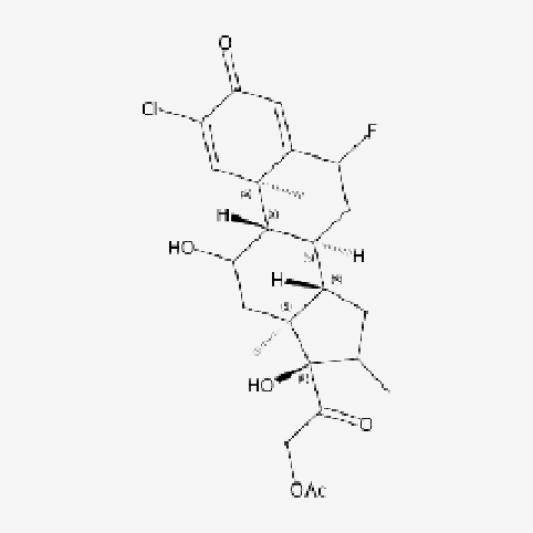 CC(=O)OCC(=O)[C@@]1(O)C(C)C[C@H]2[C@@H]3CC(F)C4=CC(=O)C(Cl)=C[C@]4(C)[C@H]3C(O)C[C@@]21C